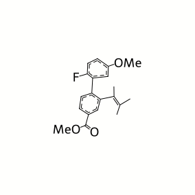 COC(=O)c1ccc(-c2cc(OC)ccc2F)c(C(C)=C(C)C)c1